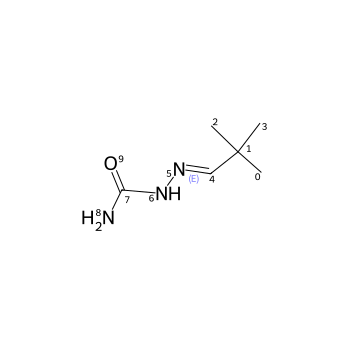 CC(C)(C)/C=N/NC(N)=O